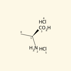 C[C@H](N)C(=O)O.Cl.Cl